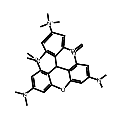 COc1cc([N+](C)(C)C)cc(OC)c1C1c2c(OC)cc(N(C)C)cc2Oc2cc(N(C)C)cc(OC)c21